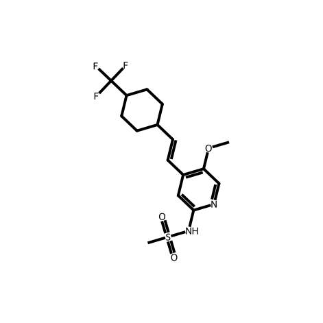 COc1cnc(NS(C)(=O)=O)cc1C=CC1CCC(C(F)(F)F)CC1